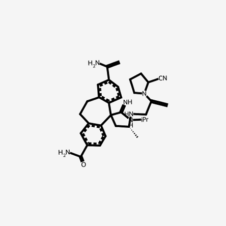 C=C(N)c1ccc2c(c1)CCc1cc(C(N)=O)ccc1C2(C[C@@H](C)NCC(=C)N1CCCC1C#N)C(=N)NC(C)C